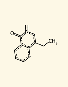 CCc1c[nH]c(=O)c2ccccc12